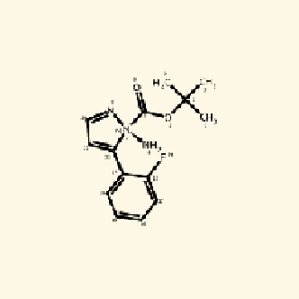 CC(C)(C)OC(=O)[N@@+]1(N)N=CC=C1c1ccccc1F